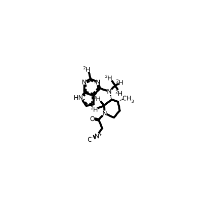 [2H]c1nc(N([C@@H]2[C@H](C)CCN(C(=O)C[N+]#[C-])C2([2H])[2H])C([2H])([2H])[2H])c2cc[nH]c2n1